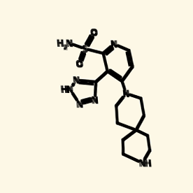 NS(=O)(=O)c1nccc(N2CCC3(CCNCC3)CC2)c1-c1nn[nH]n1